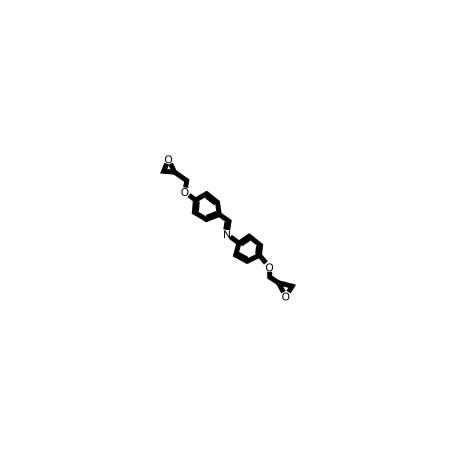 C(=N\c1ccc(OCC2CO2)cc1)/c1ccc(OCC2CO2)cc1